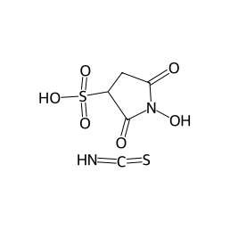 N=C=S.O=C1CC(S(=O)(=O)O)C(=O)N1O